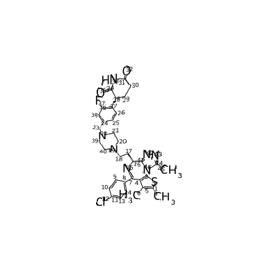 Cc1sc2c(c1C)C(c1ccc(Cl)cc1)=N[C@@H](CCN1CCN(Cc3ccc(C4CCC(=O)NC4=O)c(F)c3)CC1)c1nnc(C)n1-2